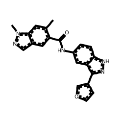 Cc1cc2c(cnn2C)cc1C(=O)Nc1ccc2[nH]nc(-c3ccoc3)c2c1